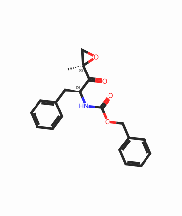 C[C@]1(C(=O)[C@H](Cc2ccccc2)NC(=O)OCc2ccccc2)CO1